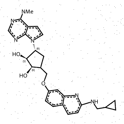 CNc1ncnc2c1ccn2[C@@H]1CC(COc2ccc3ccc(NCC4CC4)nc3c2)[C@@H](O)[C@H]1O